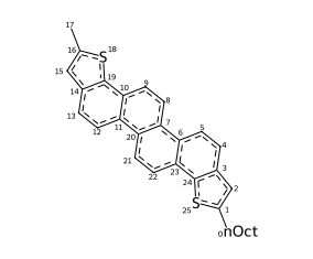 CCCCCCCCc1cc2ccc3c4ccc5c(ccc6cc(C)sc65)c4ccc3c2s1